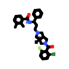 Cc1cccc(C(=O)NC(CCN2CC3CN(C(=O)c4c(F)cccc4Cl)C[C@@H]3C2)c2ccccc2)c1C